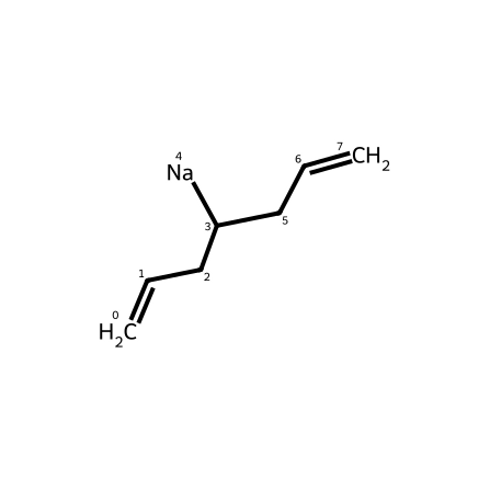 C=CC[CH]([Na])CC=C